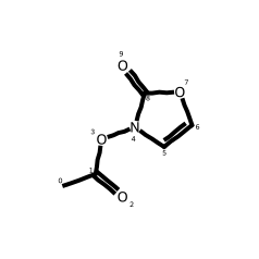 CC(=O)On1ccoc1=O